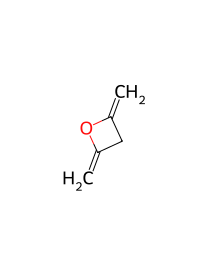 C=C1CC(=C)O1